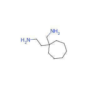 NCCC1(CN)CCCCCC1